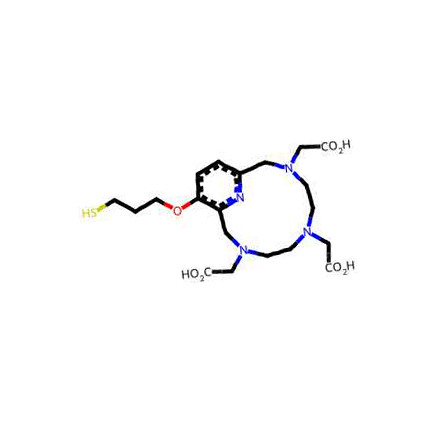 O=C(O)CN1CCN(CC(=O)O)Cc2ccc(OCCCS)c(n2)CN(CC(=O)O)CC1